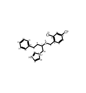 Clc1ccc(CSC(CCc2ccccc2)Cn2ccnc2)c(Cl)c1